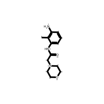 Cc1c(N)cccc1NC(=O)CN1CCOCC1